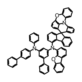 c1ccc(-c2ccc(N(c3ccccc3)c3cc(-c4ccccc4)cc(N(c4cccc5c4-c4ccccc4C54c5ccccc5N5c6ccccc6Oc6cccc4c65)c4cccc5c4oc4ccccc45)c3)cc2)cc1